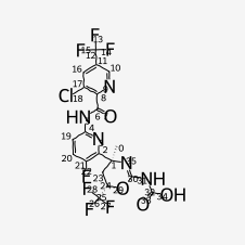 C[C@@]1(c2nc(NC(=O)c3ncc(C(F)(F)F)cc3Cl)ccc2F)C[C@@H](C(F)(F)F)OC(NC(=O)O)=N1